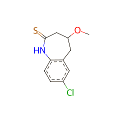 COC1CC(=S)Nc2ccc(Cl)cc2C1